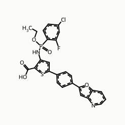 CCOP(=O)(Nc1cc(-c2ccc(-c3cc4ncccc4o3)cc2)sc1C(=O)O)c1ccc(Cl)cc1F